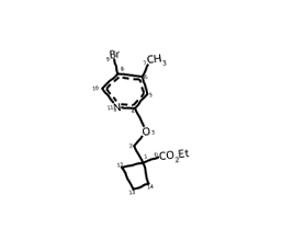 CCOC(=O)C1(COc2cc(C)c(Br)cn2)CCC1